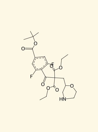 CCOC(=O)C(CC1CNCCO1)(C(=O)OCC)C(=O)c1c(F)cc(C(=O)OC(C)(C)C)cc1F